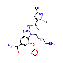 CCn1nc(C)cc1C(=O)Nc1nc2cc(C(N)=O)cc(OC3CCO3)c2n1C/C=C/CN